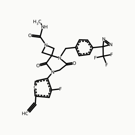 C#Cc1ccc(N2CC(=O)N(Cc3ccc(C4(C(F)(F)F)N=N4)cc3)C3(CN(C(=O)NC)C3)C2=O)c(F)c1